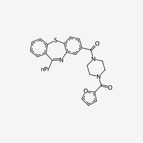 CCCC1=Nc2cc(C(=O)N3CCN(C(=O)c4ccco4)CC3)ccc2Sc2ccccc21